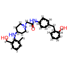 Cc1cccc(CO)c1NC1CCN(CC(=O)Nc2ccc(Cc3ccccc3O)cc2)CC1